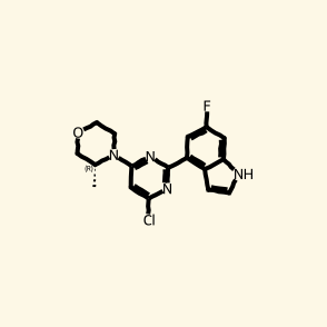 C[C@@H]1COCCN1c1cc(Cl)nc(-c2cc(F)cc3[nH]ccc23)n1